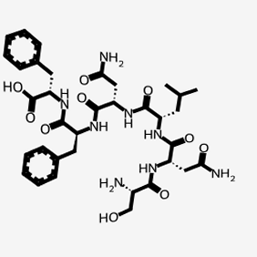 CC(C)C[C@H](NC(=O)[C@H](CC(N)=O)NC(=O)[C@@H](N)CO)C(=O)N[C@@H](CC(N)=O)C(=O)N[C@@H](Cc1ccccc1)C(=O)N[C@@H](Cc1ccccc1)C(=O)O